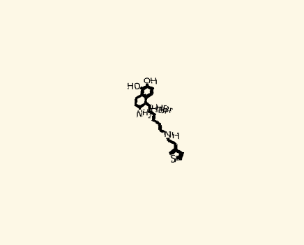 Br.Br.NC1CCc2c(ccc(O)c2O)C1CCCCCCNCCc1ccsc1